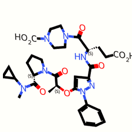 C[C@H](Oc1cc(C(=O)N[C@@H](CCC(=O)O)C(=O)N2CCN(C(=O)O)CC2)nn1-c1ccccc1)C(=O)N1CCC[C@H]1C(=O)N(C)C1CC1